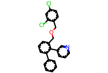 Clc1ccc(COCc2cccc(-c3ccccc3)c2-c2cccnc2)c(Cl)c1